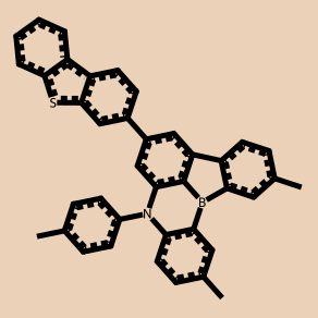 Cc1ccc(N2c3ccc(C)cc3B3c4cc(C)ccc4-c4cc(-c5ccc6c(c5)sc5ccccc56)cc2c43)cc1